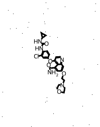 NC(=O)c1cc(OCCN2CCOCC2)cc2nccc(Oc3ccc(NC(=O)NC4CC4)c(Cl)c3)c12